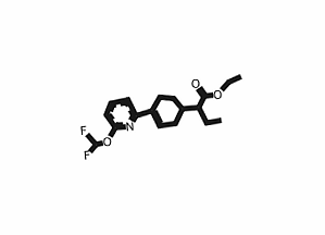 CCOC(=O)C(CC)C1CC=C(c2cccc(OC(F)F)n2)CC1